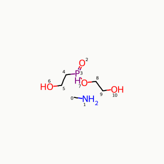 CN.O=[PH](CCO)OCCO